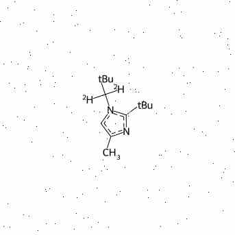 [2H]C([2H])(n1cc(C)nc1C(C)(C)C)C(C)(C)C